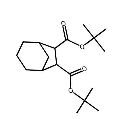 CC(C)(C)OC(=O)C1C2CCCC(C2)C1C(=O)OC(C)(C)C